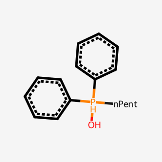 CCCCC[PH](O)(c1ccccc1)c1ccccc1